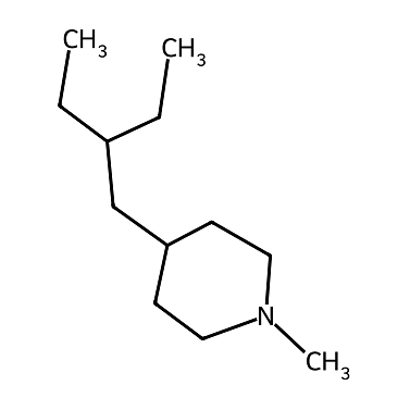 CCC(CC)CC1CCN(C)CC1